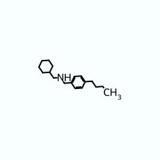 CCCCc1ccc(CNCC2CCCCC2)cc1